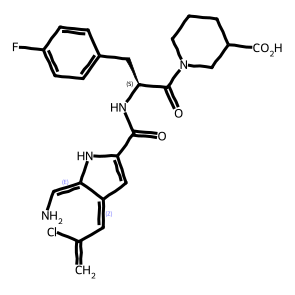 C=C(Cl)/C=c1/cc(C(=O)N[C@@H](Cc2ccc(F)cc2)C(=O)N2CCCC(C(=O)O)C2)[nH]/c1=C/N